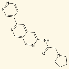 O=C(CN1CCCC1)Nc1cc2cc(-c3ccnnc3)ncc2cn1